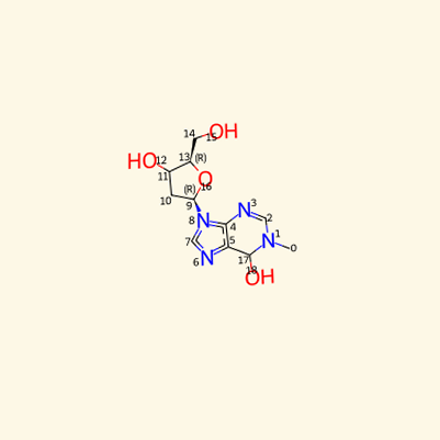 CN1C=Nc2c(ncn2[C@H]2CC(O)[C@@H](CO)O2)C1O